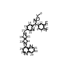 CCO/N=C(\c1ccc(F)c(F)c1)c1ccc(CN2CC3(C2)CN(c2ccnc4cccnc24)C3)cn1